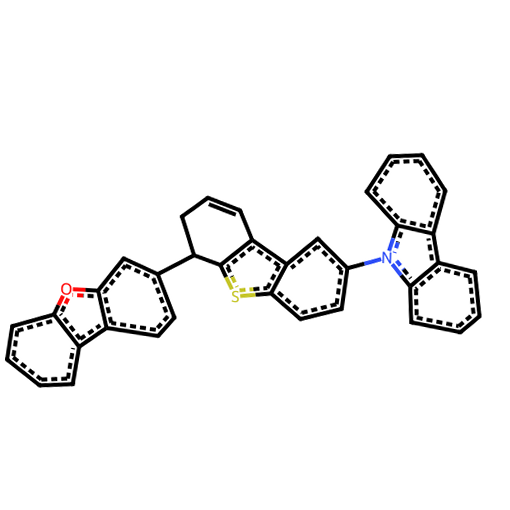 C1=Cc2c(sc3ccc(-n4c5ccccc5c5ccccc54)cc23)C(c2ccc3c(c2)oc2ccccc23)C1